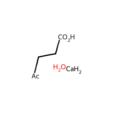 CC(=O)CCC(=O)O.O.[CaH2]